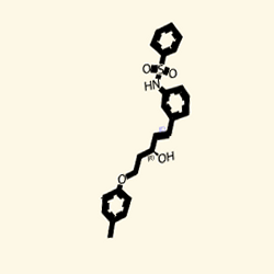 Cc1c[c]c(OCC[C@@H](O)/C=C/c2cccc(NS(=O)(=O)c3ccccc3)c2)cc1